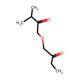 CCC(=O)COCC(=O)C(C)C